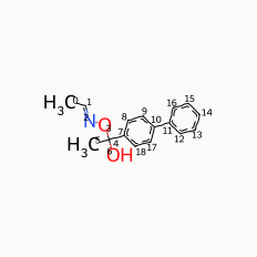 CC=NOC(C)(O)c1ccc(-c2ccccc2)cc1